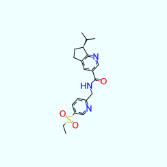 CCS(=O)(=O)c1ccc(CNC(=O)c2cnc3c(c2)CC[C@H]3C(C)C)nc1